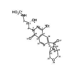 CCc1nn(C[C@@H](O)CNC(=O)O)c(=O)c2ccc(C(=O)N3C4CCC3COC4)cc12